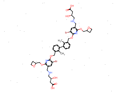 Cc1c(COc2nc(OCC3CCO3)c(CNC[C@@H](O)CC(=O)O)cc2Br)cccc1-c1cccc(COc2nc(OCC3CCO3)c(CNC[C@@H](O)CC(=O)O)cc2Br)c1C